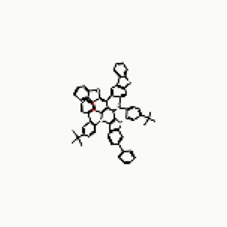 CC(C)(C)c1ccc(N2B3c4sc5cc(-c6ccccc6)ccc5c4N(c4ccc(C(C)(C)C)cc4-c4ccccc4)c4cc5c(oc6ccccc65)c(c43)-c3cc4c(cc32)sc2ccccc24)cc1